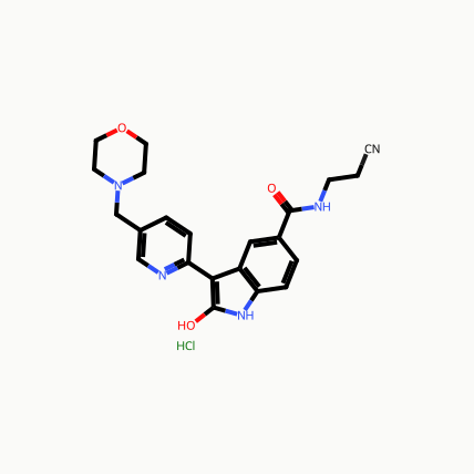 Cl.N#CCCNC(=O)c1ccc2[nH]c(O)c(-c3ccc(CN4CCOCC4)cn3)c2c1